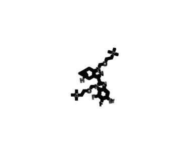 C[C@@]12Cc3c(c(-c4nc5cc(Br)c(F)c(F)c5n4COCC[Si](C)(C)C)nn3COCC[Si](C)(C)C)C[C@@H]1C2